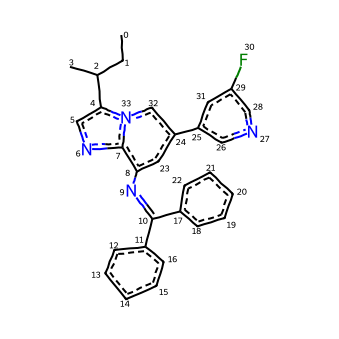 CCC(C)c1cnc2c(N=C(c3ccccc3)c3ccccc3)cc(-c3cncc(F)c3)cn12